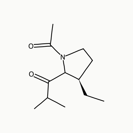 CC[C@@H]1CCN(C(C)=O)C1C(=O)C(C)C